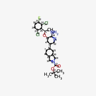 CC(Oc1cc(-c2ccc3cn(C(=O)OC(C)(C)C)cc3c2)cnc1N)c1c(Cl)ccc(F)c1Cl